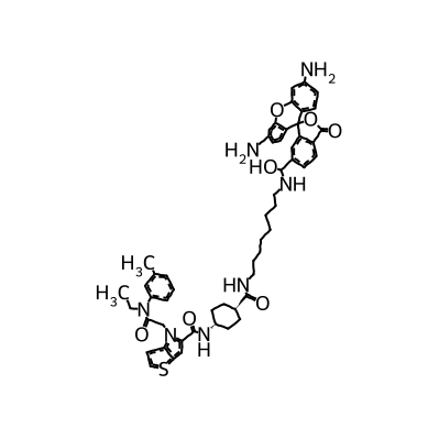 CCN(C(=O)Cn1c(C(=O)N[C@H]2CC[C@H](C(=O)NCCCCCCCCNC(O)c3ccc4c(c3)C3(OC4=O)c4ccc(N)cc4Oc4cc(N)ccc43)CC2)cc2sccc21)c1cccc(C)c1